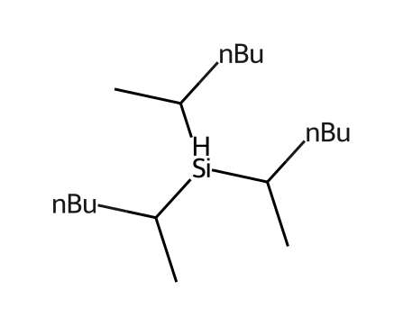 CCCCC(C)[SiH](C(C)CCCC)C(C)CCCC